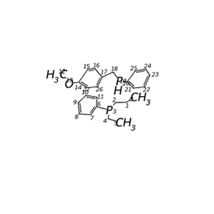 CCCP(CC)c1ccccc1.COc1ccc(CPc2ccccc2)cc1